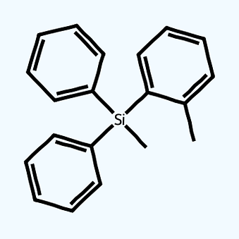 Cc1ccccc1[Si](C)(c1ccccc1)c1ccccc1